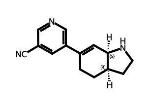 N#Cc1cncc(C2=C[C@H]3NCC[C@H]3CC2)c1